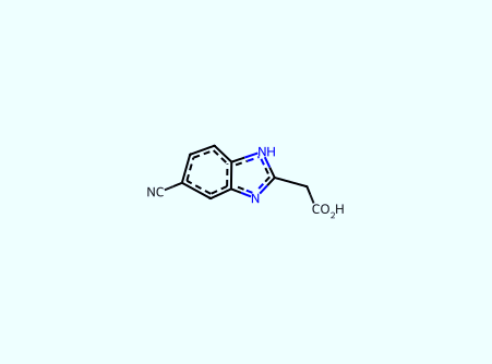 N#Cc1ccc2[nH]c(CC(=O)O)nc2c1